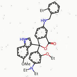 CCOc1cc(N(CC)CC)ccc1C1(c2c[nH]c3ccc(OC)cc23)OC(=O)c2cc(NCc3ccccc3CC)ccc21